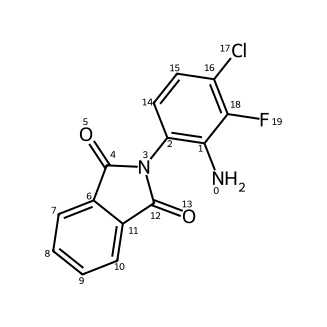 Nc1c(N2C(=O)c3ccccc3C2=O)ccc(Cl)c1F